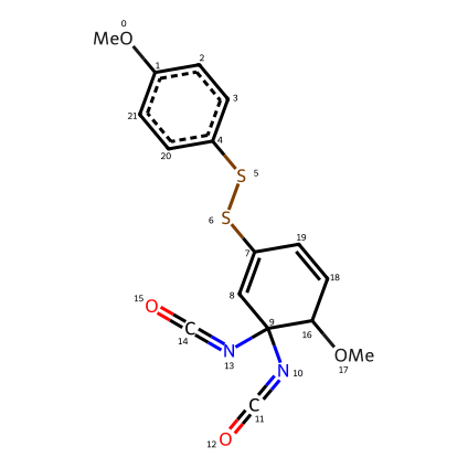 COc1ccc(SSC2=CC(N=C=O)(N=C=O)C(OC)C=C2)cc1